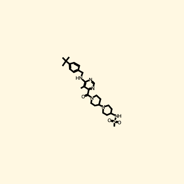 Cc1c(NCc2ccc(C(C)(C)C)cc2)ncnc1C(=O)N1CCC(N2CCC(NS(C)(=O)=O)CC2)CC1